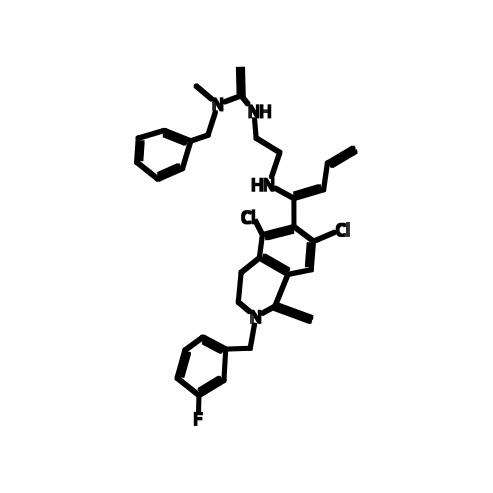 C=C/C=C(\NCCNC(=C)N(C)Cc1ccccc1)c1c(Cl)cc2c(c1Cl)CCN(Cc1cccc(F)c1)C2=C